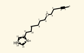 CC#CCCOCCCCCCc1c[nH]cn1